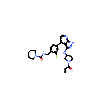 C=CC(=O)N1CCC(Nc2n[nH]c3nccc(-c4ccc(CNC(=O)N5CCCCC5)c(F)c4)c23)C1